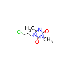 Cc1nc(=O)n(C)c(=O)n1CCCCl